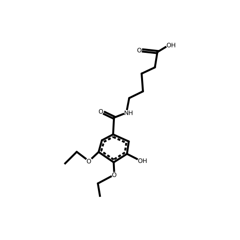 CCOc1cc(C(=O)NCCCCC(=O)O)cc(O)c1OCC